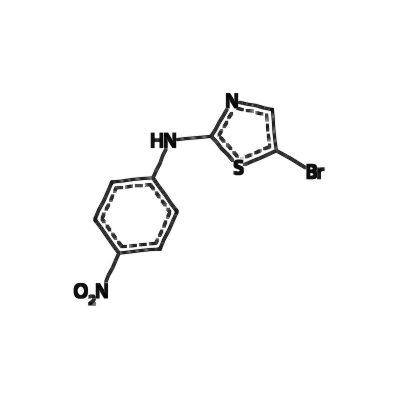 O=[N+]([O-])c1ccc(Nc2ncc(Br)s2)cc1